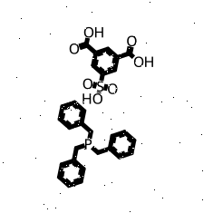 O=C(O)c1cc(C(=O)O)cc(S(=O)(=O)O)c1.c1ccc(CP(Cc2ccccc2)Cc2ccccc2)cc1